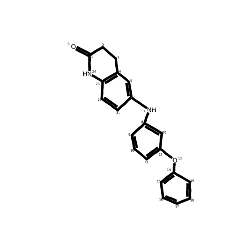 O=C1CCc2cc(Nc3cccc(Oc4ccccc4)c3)ccc2N1